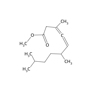 COC(=O)CC(C)=C=CC(C)CCC(C)C